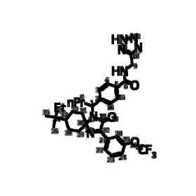 CCCC(c1ccc(C(=O)NCc2nn[nH]n2)cc1)N1C(=O)C(c2cccc(OC(F)(F)F)c2)=NC12CCC(C(C)(C)CC)CC2